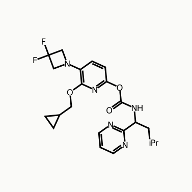 CC(C)CC(NC(=O)Oc1ccc(N2CC(F)(F)C2)c(OCC2CC2)n1)c1ncccn1